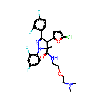 CN(C)CCOCCNC(=O)C1(C)C(c2ccc(Cl)o2)C(c2ccc(F)cc2F)=NN1c1ccc(F)cc1F